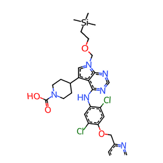 C[Si](C)(C)CCOCn1cc(C2CCN(C(=O)O)CC2)c2c(Nc3cc(Cl)c(OCc4ccccn4)cc3Cl)ncnc21